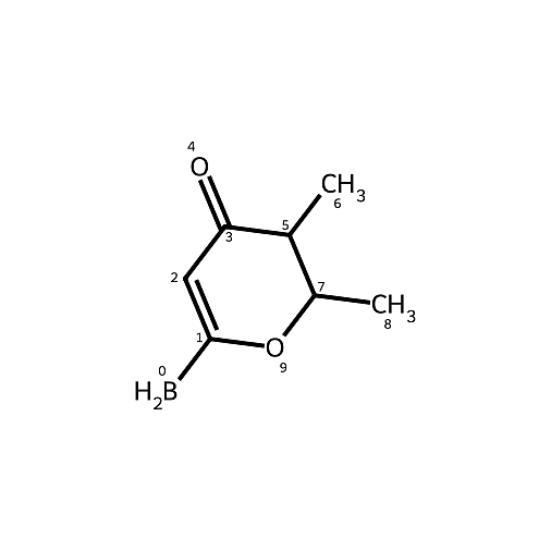 BC1=CC(=O)C(C)C(C)O1